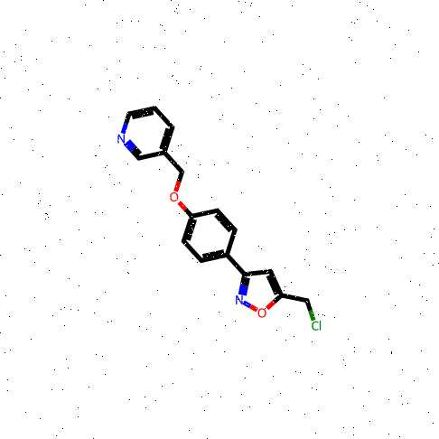 ClCc1cc(-c2ccc(OCc3cccnc3)cc2)no1